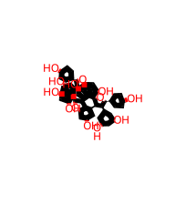 Oc1ccc([C@H]2Oc3cc(O)cc([C@@H]4[C@H](c5cc(O)cc(O)c5)[C@@H](c5ccc(O)cc5)O[C@@H]4c4ccc(O)cc4)c3[C@@H]2c2cc(O)cc3c2[C@@H](c2cc(O)cc(O)c2)[C@H](c2ccc(O)cc2)O3)cc1